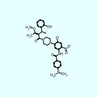 C/C(ON)=C(\C(=O)N1CCN(c2cc(NC(=O)c3ccc(N(C)C)cc3)c([N+](=O)[O-])cc2Cl)CC1)C(I)c1ccccc1O